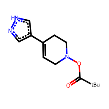 CC(C)(C)C(=O)ON1CC=C(c2cn[nH]c2)CC1